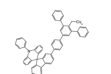 CCc1c(-c2ccccc2)cc(-c2ccc(-c3ccc4c(c3)C3(c5ccccc5-4)c4ccccc4N(c4ccccc4)c4ccccc43)cc2)cc1-c1ccccc1